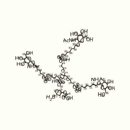 B[C@H]1CC(OP(C)(=O)O)[C@@H](COP(=O)(O)OCC(COCCCOP(=O)(O)OCCCCCCO[C@@H]2OC(CO)[C@H](O)C(O)[C@@H]2NC(C)=O)(COCCCOP(=O)(O)OCCCCCCO[C@@H]2OC(CO)[C@H](O)C(O)[C@@H]2NC(C)=O)COCCCOP(=O)(O)OCCCCCCO[C@@H]2OC(CO)[C@H](O)C(O)[C@@H]2NC(C)=O)O1